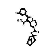 CC1C2CCC1CC(C)(NC(=O)N1CCn3nc(-c4cccc(F)c4)c(C(N)=O)c3C1)C2